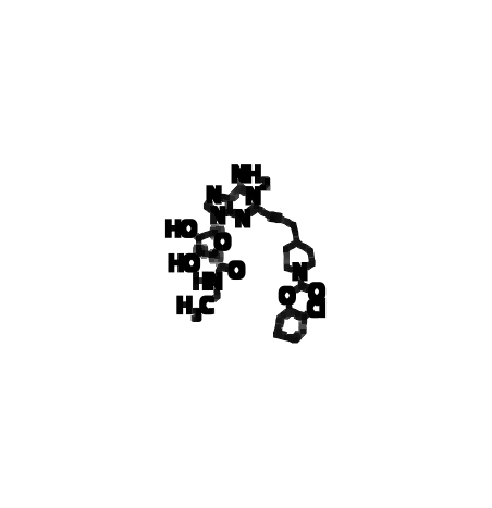 CCNC(=O)[C@H]1O[C@@H](n2cnc3c(N)nc(C#CCC4CCN(C(=O)Oc5ccccc5Cl)CC4)nc32)C(O)[C@H]1O